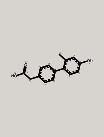 Cc1cc(O)ccc1-c1ccc(CC(=O)O)cc1